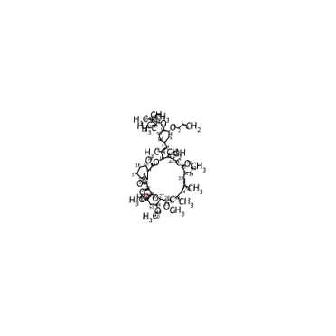 C=CCOC1CC(C=C(C)C2OC(=O)C3CCCCN3C(=O)C(=O)C3(O)OC(C(OC)CC(C)C/C(C)=C/C(CC)C(=O)CC(O)C2C)C(OC)CC3C)CCC1O[Si](C)(C)C(C)(C)C